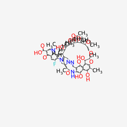 CCn1cc(C(=O)O)c(=O)c2cc(F)c(N3CCN(/N=C/c4c5c(O)c6c(O)c(C)c7c(c6c4O)C(=O)[C@@](C)(O/C=C/[C@H](OC)[C@@H](C)[C@@H](OC(C)=O)[C@H](C)[C@H](O)[C@H](C)[C@@H](O)[C@@H](C)/C=C/C=C(/C)C(=O)N5)O7)CC3)cc21